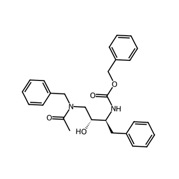 CC(=O)N(Cc1ccccc1)C[C@@H](O)[C@H](Cc1ccccc1)NC(=O)OCc1ccccc1